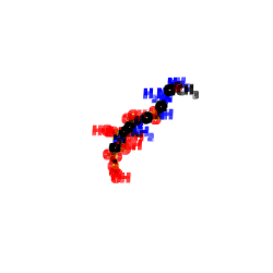 COc1cc(/N=N/c2ccc(NS(=O)(=O)c3ccc(/N=N/c4c(S(=O)(=O)O)cc5cc(SOOO)c(/N=N/c6ccc(S(=O)(=O)CCOSOOO)cc6S(=O)(=O)O)c(O)c5c4N)cc3)cc2)c(N)cc1N